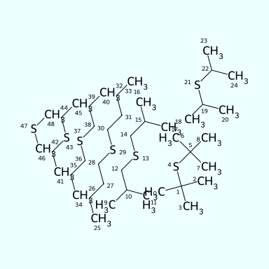 CC(C)(C)SC(C)(C)C.CC(C)CSCC(C)C.CC(C)SC(C)C.CCCCSCCCC.CCCSCCC.CCSCC.CSC